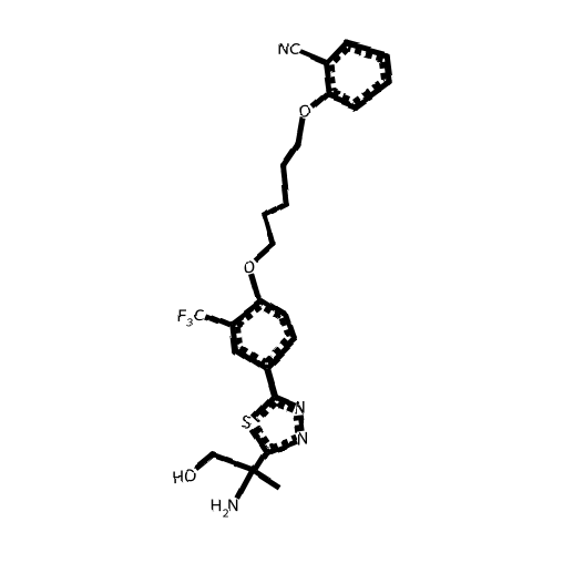 CC(N)(CO)c1nnc(-c2ccc(OCCCCCOc3ccccc3C#N)c(C(F)(F)F)c2)s1